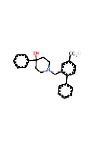 O=C(O)c1ccc(-c2ccccc2)c(CN2CCC(O)(c3ccccc3)CC2)c1